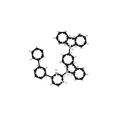 c1ccc(-c2cccc(-c3ccnc(-n4c5ccccc5c5cc(-n6c7ccccc7c7ccccc76)ccc54)n3)c2)cc1